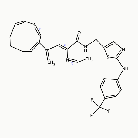 C=C(/C=C(\N=C/C)C(=O)NCc1cnc(Nc2ccc(C(F)(F)F)cc2)s1)C1=C/CCCC=C/N=C\1